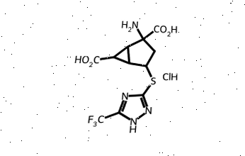 Cl.NC1(C(=O)O)CC(Sc2n[nH]c(C(F)(F)F)n2)C2C(C(=O)O)C21